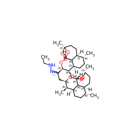 CCN/N=C(/C[C@H]1O[C@@H]2O[C@]3(C)CC[C@H]4[C@H](C)CC[C@@H]([C@H]1C)[C@@]24OO3)[C@H]1O[C@@H]2O[C@]3(C)CC[C@H]4[C@H](C)CC[C@@H]([C@H]1C)[C@@]24OO3